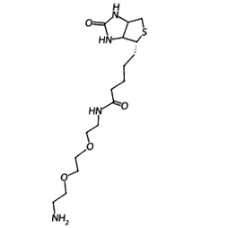 NCCOCCOCCNC(=O)CCCC[C@H]1SCC2NC(=O)NC21